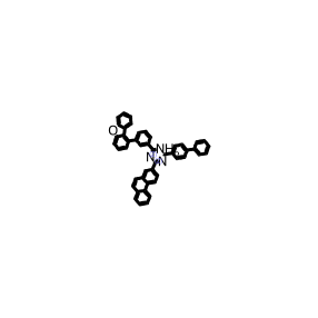 N/C(=N\C(=N/Cc1ccc(-c2ccccc2)cc1)c1ccc2c(ccc3ccccc32)c1)c1cccc(-c2cccc3oc4ccccc4c23)c1